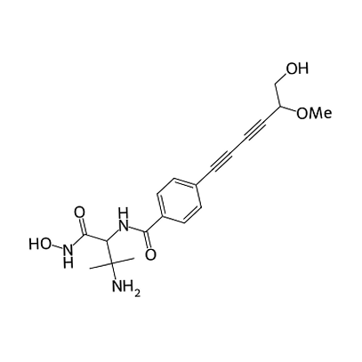 COC(C#CC#Cc1ccc(C(=O)NC(C(=O)NO)C(C)(C)N)cc1)CO